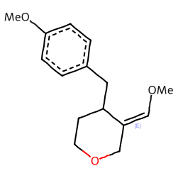 CO/C=C1/COCCC1Cc1ccc(OC)cc1